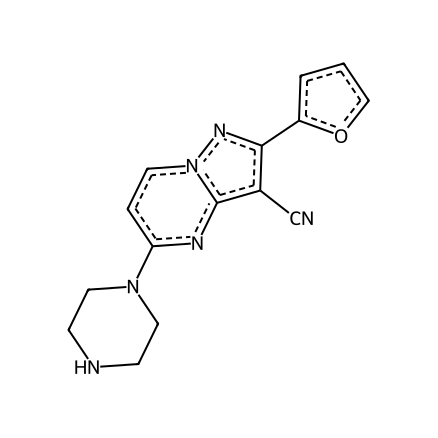 N#Cc1c(-c2ccco2)nn2ccc(N3CCNCC3)nc12